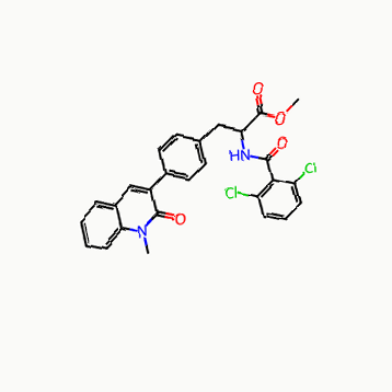 COC(=O)C(Cc1ccc(-c2cc3ccccc3n(C)c2=O)cc1)NC(=O)c1c(Cl)cccc1Cl